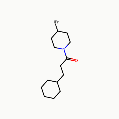 CC(C)C1CCN(C(=O)CCC2CCCCC2)CC1